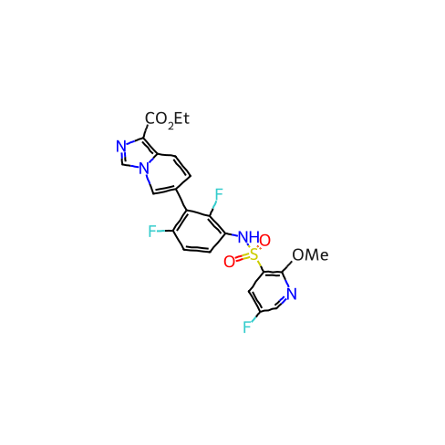 CCOC(=O)c1ncn2cc(-c3c(F)ccc(NS(=O)(=O)c4cc(F)cnc4OC)c3F)ccc12